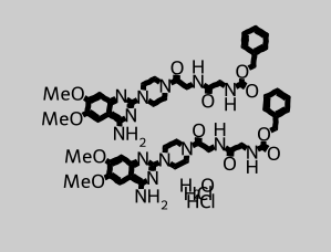 COc1cc2nc(N3CCN(C(=O)CNC(=O)CNC(=O)OCc4ccccc4)CC3)nc(N)c2cc1OC.COc1cc2nc(N3CCN(C(=O)CNC(=O)CNC(=O)OCc4ccccc4)CC3)nc(N)c2cc1OC.Cl.Cl.O